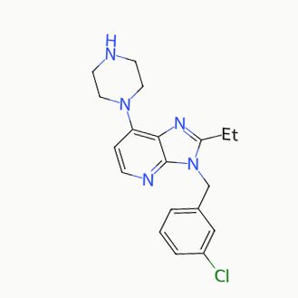 CCc1nc2c(N3CCNCC3)ccnc2n1Cc1cccc(Cl)c1